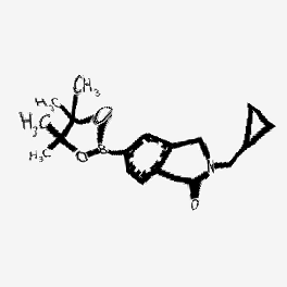 CC1(C)OB(c2ccc3c(c2)CN(CC2CC2)C3=O)OC1(C)C